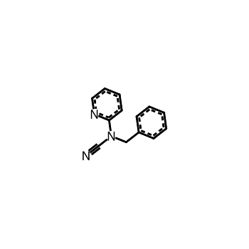 N#CN(Cc1ccccc1)c1ccccn1